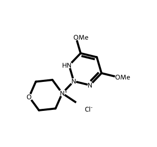 COC1=CC(OC)=NN([N+]2(C)CCOCC2)N1.[Cl-]